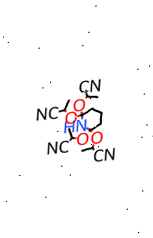 CC(C#N)OC1(OC(C)C#N)CCCC(OC(C)C#N)(OC(C)C#N)N1